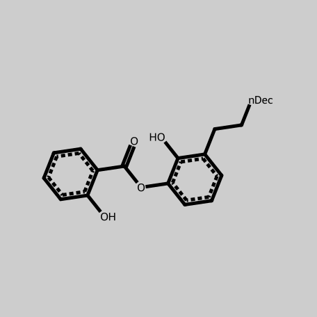 CCCCCCCCCCCCc1cccc(OC(=O)c2ccccc2O)c1O